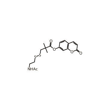 CC(=O)NCCSSCC(C)(C)C(=O)Oc1ccc2ccc(=O)oc2c1